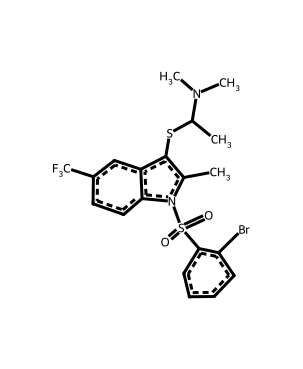 Cc1c(SC(C)N(C)C)c2cc(C(F)(F)F)ccc2n1S(=O)(=O)c1ccccc1Br